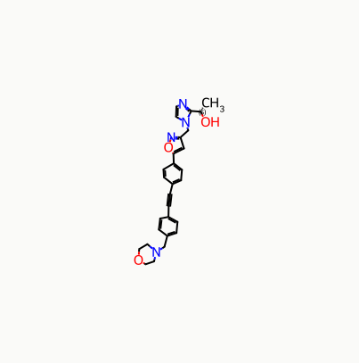 C[C@H](O)c1nccn1Cc1cc(-c2ccc(C#Cc3ccc(CN4CCOCC4)cc3)cc2)on1